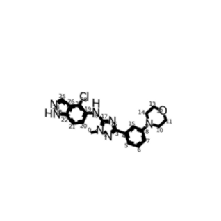 Cn1nc(-c2cccc(N3CCOCC3)c2)nc1Nc1ccc2[nH]ncc2c1Cl